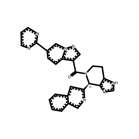 O=C(c1cnn2cc(-c3ncccn3)ccc12)N1CCc2[nH]cnc2[C@H]1c1cc2ccccc2cn1